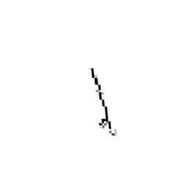 CCCCCCCCCCCCCCC(C=O)CCCl